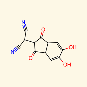 N#CC(C#N)C1C(=O)C2C=C(O)C(O)=CC2C1=O